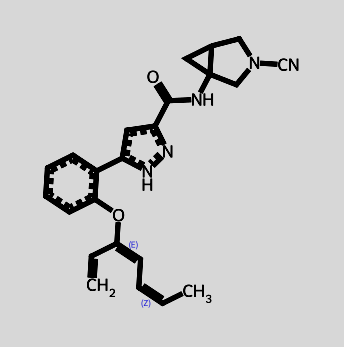 C=C/C(=C\C=C/C)Oc1ccccc1-c1cc(C(=O)NC23CC2CN(C#N)C3)n[nH]1